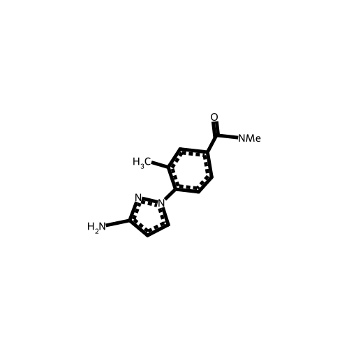 CNC(=O)c1ccc(-n2ccc(N)n2)c(C)c1